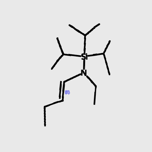 CC/C=C/N(CC)[Si](C(C)C)(C(C)C)C(C)C